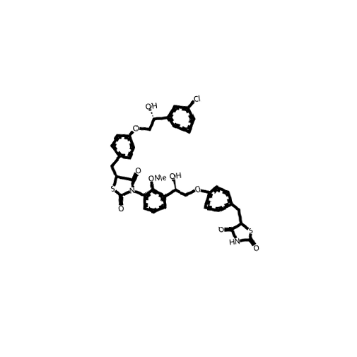 COc1c([C@@H](O)COc2ccc(CC3SC(=O)NC3=O)cc2)cccc1N1C(=O)SC(Cc2ccc(OC[C@H](O)c3cccc(Cl)c3)cc2)C1=O